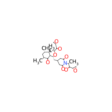 CC1C[C@H](C)CC([C@@H](CC2CC(=O)N(C(C)C(=O)C3CO3)C(=O)C2)OC(C)C(=O)C2CO2)C1=O